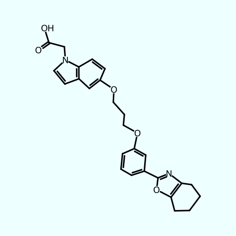 O=C(O)Cn1ccc2cc(OCCCOc3cccc(-c4nc5c(o4)CCCC5)c3)ccc21